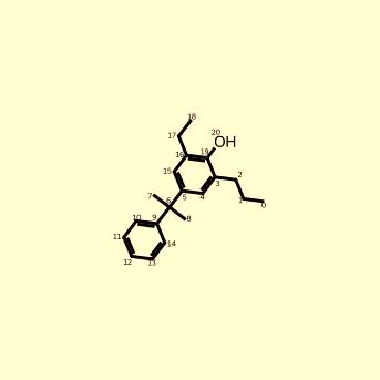 CCCc1cc(C(C)(C)c2ccccc2)cc(CC)c1O